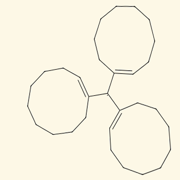 C1=C([C](C2=CCCCCCCCC2)C2=CCCCCCCCC2)CCCCCCCC1